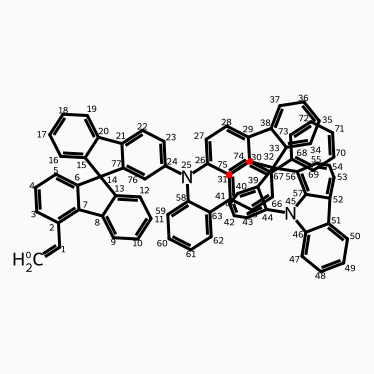 C=Cc1cccc2c1-c1ccccc1C21c2ccccc2-c2ccc(N(c3ccc4c(c3)C3(c5ccccc5-4)c4ccccc4-n4c5ccccc5c5cccc3c54)c3ccccc3-c3ccc(-c4ccccc4)cc3)cc21